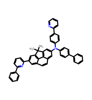 CC1(C)c2cc(-c3cccc(-c4ccccc4)n3)cc3ccc4cc(N(c5ccc(-c6ccccc6)cc5)c5ccc(-c6ccccn6)cc5)cc1c4c23